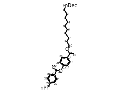 CCCCCCCCCCCCCCCCCCCCOC(C)c1ccc(OC(=O)c2ccc(CCC)cc2)cc1